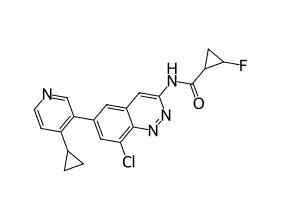 O=C(Nc1cc2cc(-c3cnccc3C3CC3)cc(Cl)c2nn1)C1CC1F